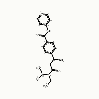 CCN(C(=O)CC(N)c1ccc(C(=O)Nc2ccncc2)cc1)N(C)C